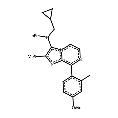 CCCN(CC1CC1)c1c(SC)nc2c(-c3ccc(OC)cc3C)nccn12